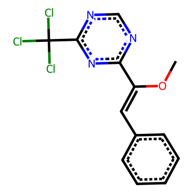 COC(=Cc1ccccc1)c1ncnc(C(Cl)(Cl)Cl)n1